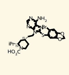 CC(C)[C@@H]1C[C@H](CCn2c(Sc3cc4c(cc3Br)OCO4)nc3c(N)ncnc32)CCN1C(=O)O